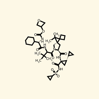 CC(C)(C)C(NC(=O)[C@@H](NC(=O)OC1COC1)C1CCCCC1)C(=O)N1C[C@]2(C[C@H]1C(=O)N[C@]1(C(=O)NS(=O)(=O)C3CC3)C[C@H]1C1CC1)C(C)(C)C21CCC1